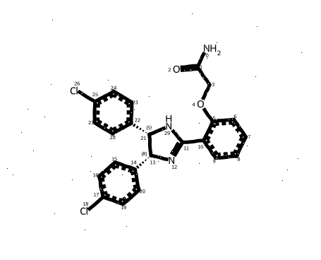 NC(=O)COc1ccccc1C1=N[C@H](c2ccc(Cl)cc2)[C@H](c2ccc(Cl)cc2)N1